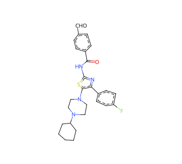 O=Cc1ccc(C(=O)Nc2nc(-c3ccc(F)cc3)c(N3CCN(C4CCCCC4)CC3)s2)cc1